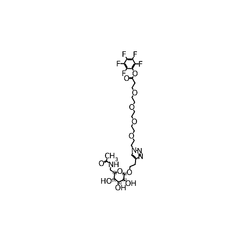 CC(=O)NC[C@H]1O[C@H](OCCc2cn(CCOCCOCCOCCOCCC(=O)Oc3c(F)c(F)c(F)c(F)c3F)nn2)[C@@H](O)[C@@H](O)[C@@H]1O